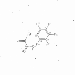 C=C(F)C(=O)O.Fc1c(F)c(F)c(F)c(F)c1F